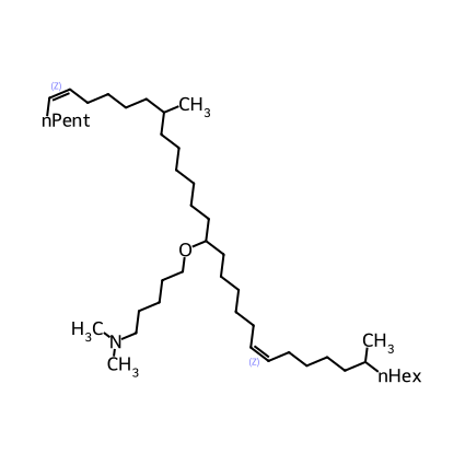 CCCCC/C=C\CCCCC(C)CCCCCCC(CCCCC/C=C\CCCCC(C)CCCCCC)OCCCCCN(C)C